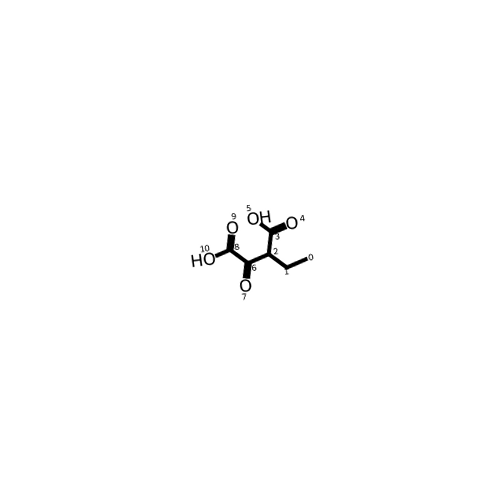 CCC(C(=O)O)C(=O)C(=O)O